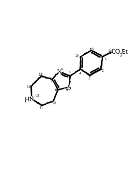 CCOC(=O)c1ccc(-c2nc3c(s2)CCNCC3)cc1